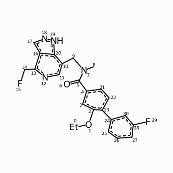 CCOc1cc(C(=O)N(C)Cc2cnc(CF)c3cn[nH]c23)ccc1-c1cccc(F)c1